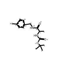 CC(NC(=O)OC(C)(C)C)C(=O)NCc1ccc(I)cc1